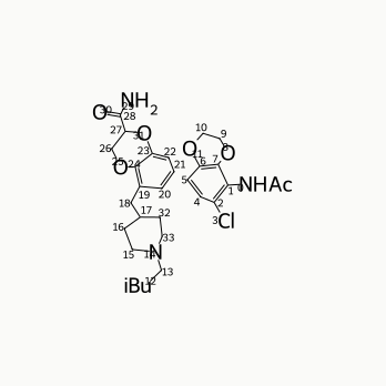 CC(=O)Nc1c(Cl)ccc2c1OCCO2.CCC(C)CN1CCC(Cc2cccc3c2OCC(C(N)=O)O3)CC1